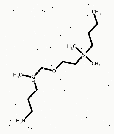 CCCC[Si](C)(C)CCOC[SiH](C)CCCN